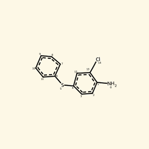 Nc1ccc(Sc2ccccc2)cc1Cl